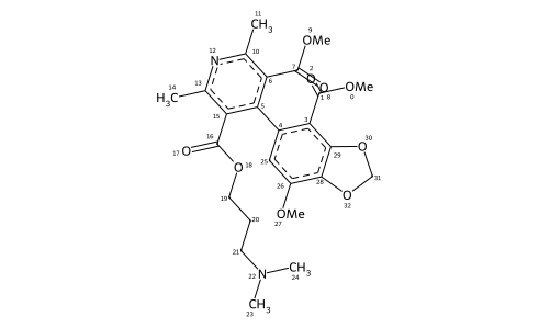 COC(=O)c1c(-c2c(C(=O)OC)c(C)nc(C)c2C(=O)OCCCN(C)C)cc(OC)c2c1OCO2